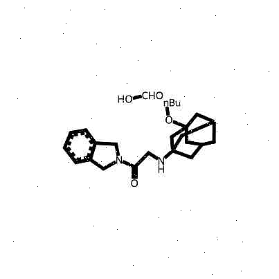 CCCCOC12CC3CC(CC(NCC(=O)N4Cc5ccccc5C4)(C3)C1)C2.O=CO